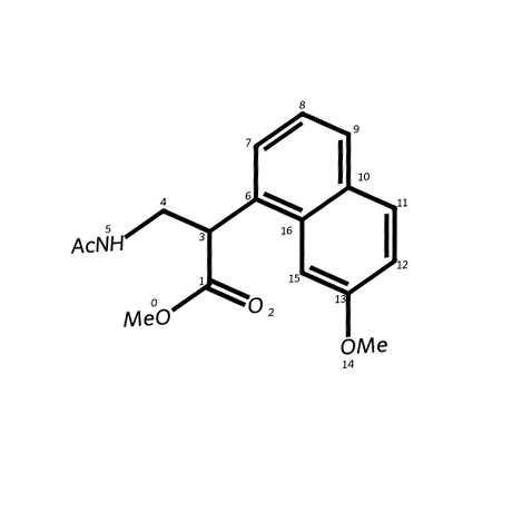 COC(=O)C(CNC(C)=O)c1cccc2ccc(OC)cc12